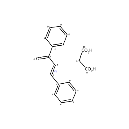 O=C(/C=C/c1ccccc1)c1ccccc1.O=C(O)CC(=O)O